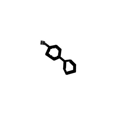 CCc1ccc(C2=CC=C=C=C2)cc1